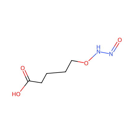 O=NNOCCCCC(=O)O